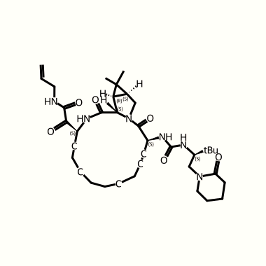 C=CCNC(=O)C(=O)[C@@H]1CCCCCCCCC[C@H](NC(=O)N[C@H](CN2CCCCC2=O)C(C)(C)C)C(=O)N2C[C@H]3[C@@H]([C@H]2C(=O)N1)C3(C)C